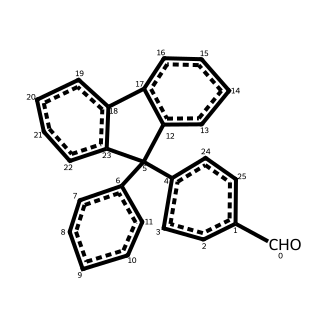 O=Cc1ccc(C2(c3ccccc3)c3ccccc3-c3ccccc32)cc1